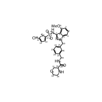 COc1cccc2c1c(NS(=O)(=O)c1ccc(Cl)s1)nn2Cc1cccc(CNC(=O)C2COCCN2)c1